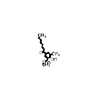 CCCCCCCC(=O)c1cc(C)c(O)c(C(=O)OC)c1